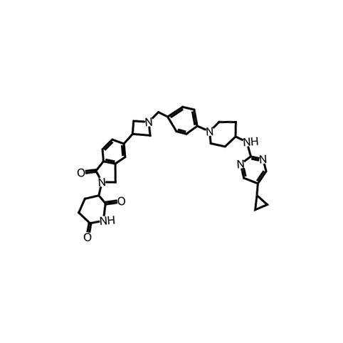 O=C1CCC(N2Cc3cc(C4CN(Cc5ccc(N6CCC(Nc7ncc(C8CC8)cn7)CC6)cc5)C4)ccc3C2=O)C(=O)N1